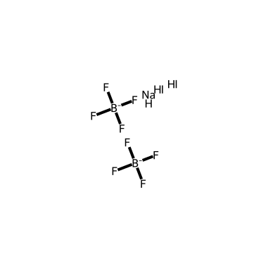 F[B-](F)(F)F.F[B-](F)(F)F.I.I.[NaH]